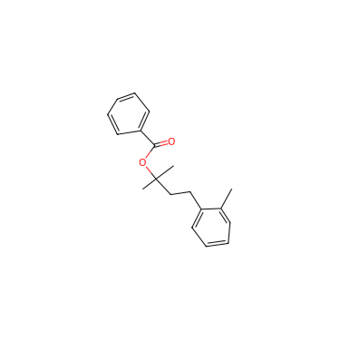 Cc1ccccc1CCC(C)(C)OC(=O)c1ccccc1